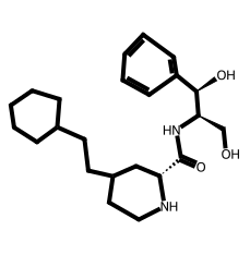 O=C(N[C@H](CO)[C@H](O)c1ccccc1)[C@H]1CC(CCC2CCCCC2)CCN1